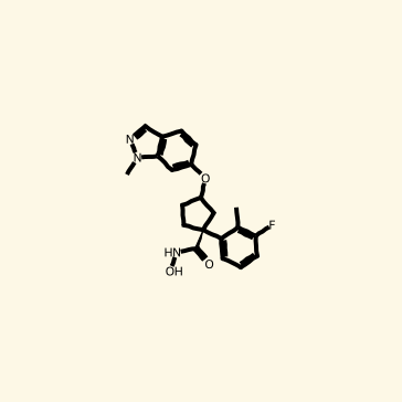 Cc1c(F)cccc1[C@]1(C(=O)NO)CCC(Oc2ccc3cnn(C)c3c2)C1